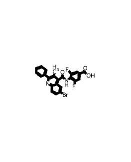 Cc1c(-c2ccccc2)nc2ccc(Br)cc2c1C(=O)Nc1c(F)cc(C(=O)O)cc1F